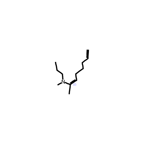 C=CCCC/C=C(/C)N(C)CCC